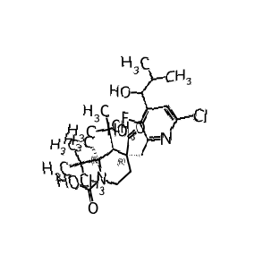 CC(C)C(O)c1cc(Cl)nc(C[C@]2(C(=O)O)CCN(C(=O)O)[C@@](C)(C(C)(C)C)C2C(C)(C)C)c1F